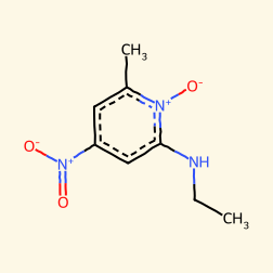 CCNc1cc([N+](=O)[O-])cc(C)[n+]1[O-]